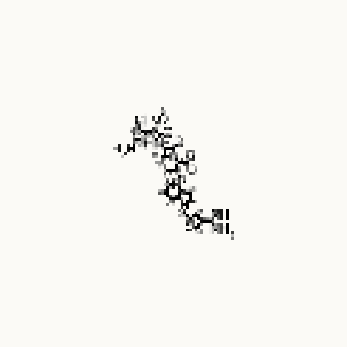 CO/N=C(\C(=O)N[C@@H]1C(=O)N2C(C(=O)[O-])=C(C[n+]3cccc4c3ccn4Cc3cc(C(=N)N)cs3)CS[C@H]12)c1nc(N)sc1Cl